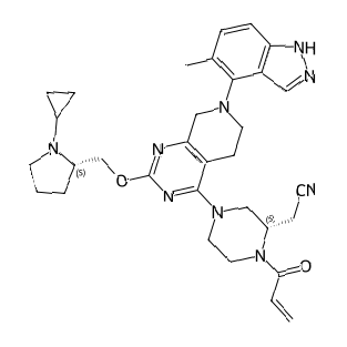 C=CC(=O)N1CCN(c2nc(OC[C@@H]3CCCN3C3CC3)nc3c2CCN(c2c(C)ccc4[nH]ncc24)C3)C[C@@H]1CC#N